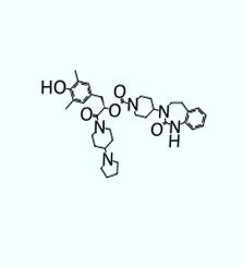 Cc1cc(C[C@@H](OC(=O)N2CCC(N3CCc4ccccc4NC3=O)CC2)C(=O)N2CCC(N3CCCC3)CC2)cc(C)c1O